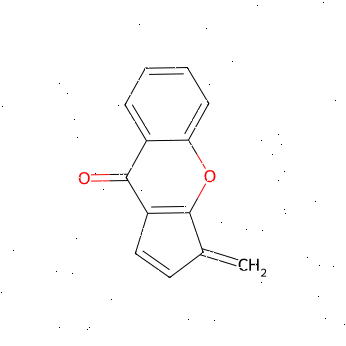 C=C1C=Cc2c1oc1ccccc1c2=O